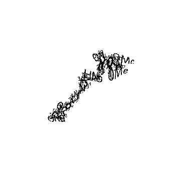 C=C1c2ccc(N3CCN(CCN4CCC5(CC4)CC5CNC(=O)c4cc5c(=O)n(C)cc(-c6cc(OC)c(CN(C)C)c(OC)c6)c5s4)CC3)cc2C(=O)N1C1CCC(=O)NC1=O